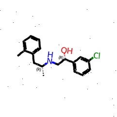 Cc1ccccc1C[C@@H](C)NC[C@H](O)c1cccc(Cl)c1